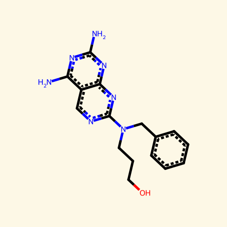 Nc1nc(N)c2cnc(N(CCCO)Cc3ccccc3)nc2n1